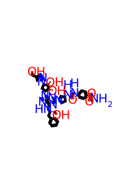 NS(=O)(=O)c1ccc(NC(=O)N[C@@H]2CCN(c3nc(N[C@H](CO)Cc4ccccc4)c4ncn([C@@H]5C[C@H](n6cc(CO)cn6)[C@@H](O)[C@H]5O)c4n3)C2)cc1